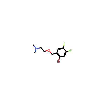 CN(C)CCOCc1cc(F)c(F)cc1Br